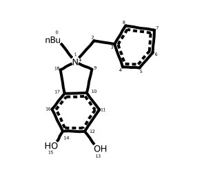 CCCC[N+]1(Cc2ccccc2)Cc2cc(O)c(O)cc2C1